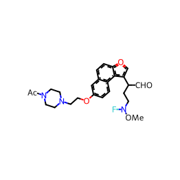 CON(F)CCC(C=O)c1coc2ccc3cc(OCCN4CCN(C(C)=O)CC4)ccc3c12